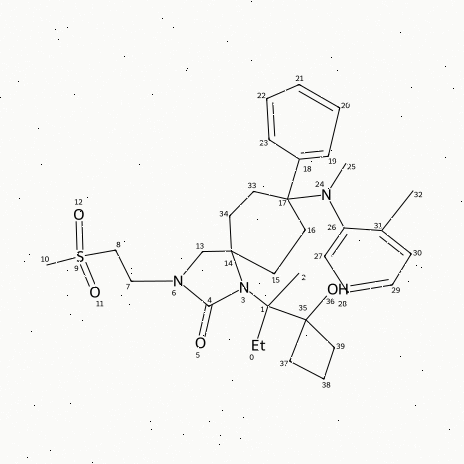 CCC(C)(N1C(=O)N(CCS(C)(=O)=O)CC12CCC(c1ccccc1)(N(C)c1ccccc1C)CC2)C1(O)CCC1